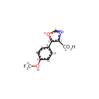 O=C(O)c1ncoc1-c1ccc(OC(F)(F)F)cc1